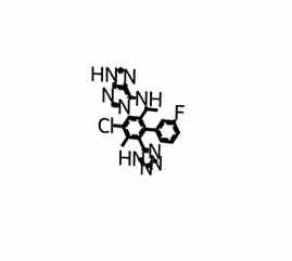 Cc1c(Cl)cc(C(C)Nc2ncnc3[nH]cnc23)c(-c2cccc(F)c2)c1-c1nnn[nH]1